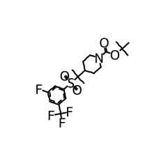 CC(C)(C)OC(=O)N1CCC(C(C)(C)S(=O)(=O)c2cc(F)cc(C(F)(F)F)c2)CC1